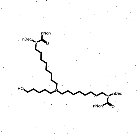 CCCCCCCCCCN(CCCCCCCCN(CCCCCO)CCCCCCCCN(CCCCCCCCCC)C(=O)CCCCCCCCC)C(=O)CCCCCCCCC